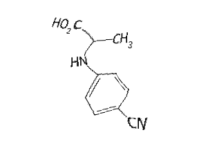 CC(Nc1ccc(C#N)cc1)C(=O)O